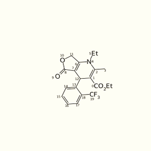 CCOC(=O)C1=C(C)N(CC)C2=C(C(=O)OC2)C1c1ccccc1C(F)(F)F